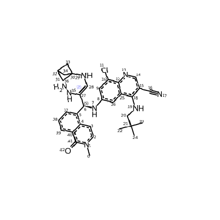 Cn1ccc2c([C@H](Nc3cc(Cl)c4ncc(C#N)c(NCC(C)(C)C)c4c3)/C(=C/NC34CC(C3)C4)NN)cccc2c1=O